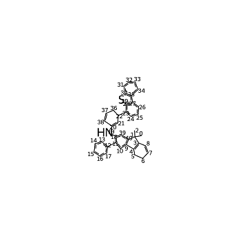 CC1(C)C2=C(CCC=C2)c2cc(-c3ccccc3)c(NC3=CC(c4cccc5c4sc4ccccc45)CC=C3)cc21